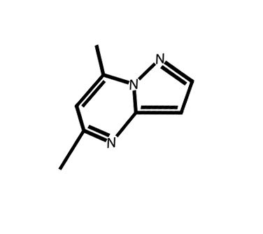 Cc1cc(C)n2nccc2n1